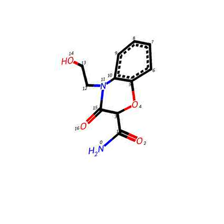 NC(=O)C1Oc2cc[c]cc2N(CCO)C1=O